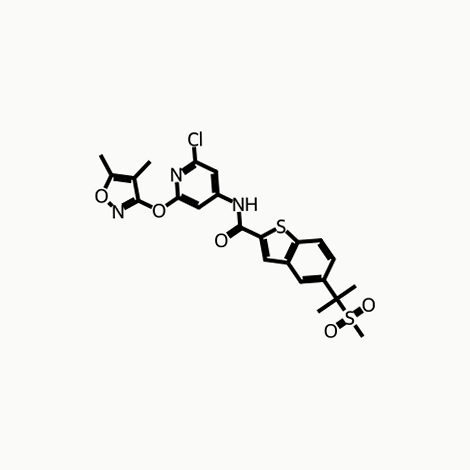 Cc1onc(Oc2cc(NC(=O)c3cc4cc(C(C)(C)S(C)(=O)=O)ccc4s3)cc(Cl)n2)c1C